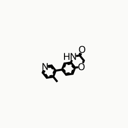 Cc1ccncc1-c1ccc2c(c1)NC(=O)CO2